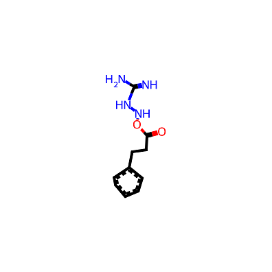 N=C(N)NNOC(=O)CCc1ccccc1